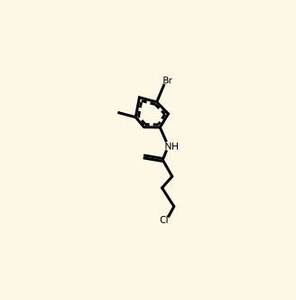 C=C(CCCCl)Nc1cc(C)cc(Br)c1